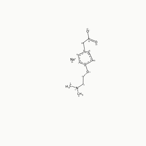 CN(C)CCOc1ccc(CC(=O)[O-])cc1.[Na+]